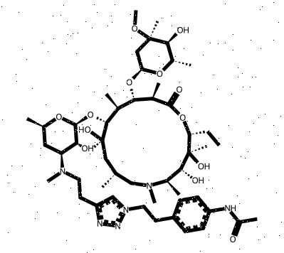 CC[C@H]1OC(=O)[C@H](C)[C@@H](O[C@H]2C[C@@](C)(OC)[C@@H](O)[C@H](C)O2)[C@H](C)[C@@H](O[C@@H]2O[C@H](C)C[C@H](N(C)CCc3cn(CCc4ccc(NC(C)=O)cc4)nn3)[C@H]2O)[C@](C)(O)C[C@@H](C)CN(C)[C@H](C)[C@@H](O)[C@]1(C)O